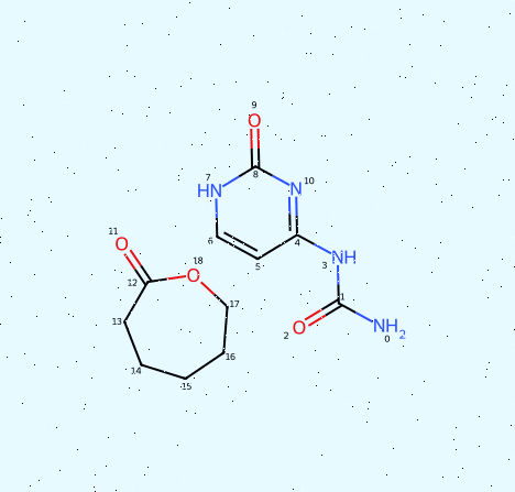 NC(=O)Nc1cc[nH]c(=O)n1.O=C1CCCCCO1